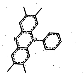 Cc1cc2nc3cc(C)c(C)cc3[n+](-c3ccccc3)c2cc1C